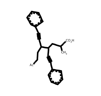 CC(=O)CCC(C#Cc1ccccc1)C(C#Cc1ccccc1)CC(C)C(=O)O